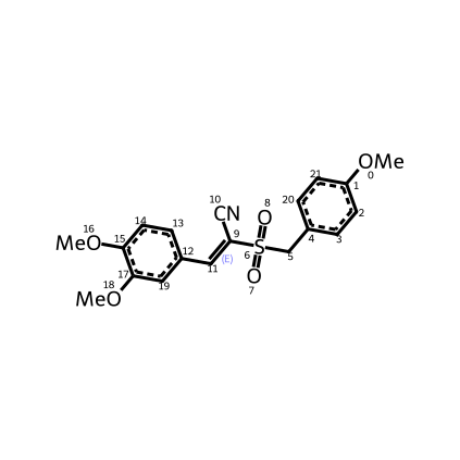 COc1ccc(CS(=O)(=O)/C(C#N)=C/c2ccc(OC)c(OC)c2)cc1